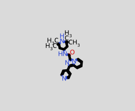 CC1(C)CC(NC(=O)c2nc(-c3ccncc3)c3ccccn23)CC(C)(C)N1